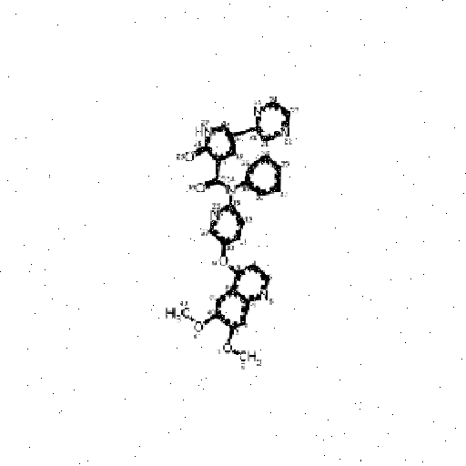 COc1cc2nccc(Oc3ccc(N(C(=O)c4cc(-c5cnccn5)c[nH]c4=O)c4ccccc4)nc3)c2cc1OC